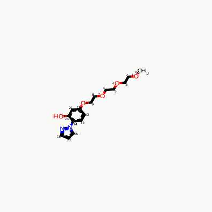 COCCOCCOCCOc1ccc(-n2cccn2)c(O)c1